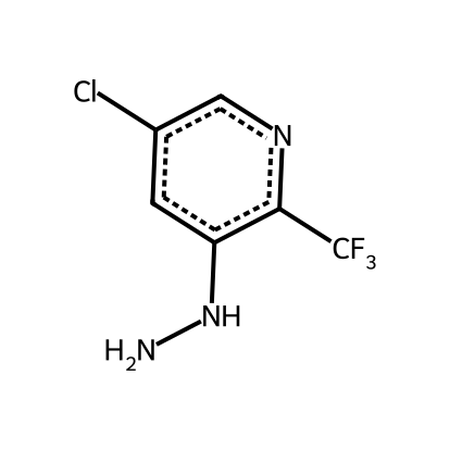 NNc1cc(Cl)cnc1C(F)(F)F